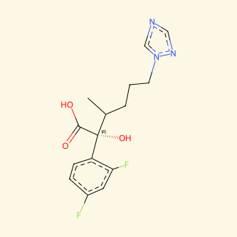 CC(CCCn1cncn1)[C@](O)(C(=O)O)c1ccc(F)cc1F